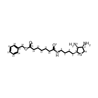 N[C@@H]1[C@H](CCCCNC(=O)CCCCCC(=O)OCc2ccccc2)SC[C@@H]1N